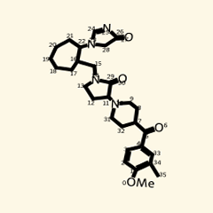 COc1ccc(C(=O)C2CCN(C3CCN(CC4CCCCCC4N4C=NC(=O)C4)C3=O)CC2)cc1C